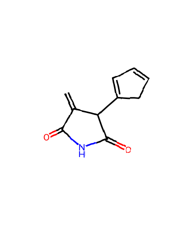 C=C1C(=O)NC(=O)C1C1=CC=CC1